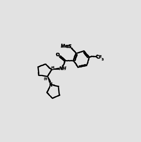 CSc1cc(C(F)(F)F)ccc1C(=O)N[C@@H]1CCC[C@@H]1N1CCCC1